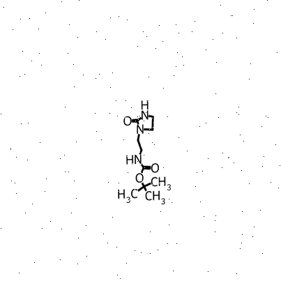 CC(C)(C)OC(=O)NCCN1CCNC1=O